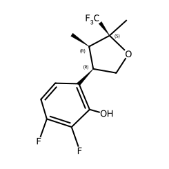 C[C@@H]1[C@H](c2ccc(F)c(F)c2O)CO[C@]1(C)C(F)(F)F